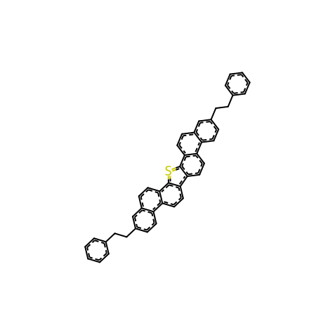 c1ccc(CCc2ccc3c(ccc4c3ccc3c5ccc6c7ccc(CCc8ccccc8)cc7ccc6c5sc43)c2)cc1